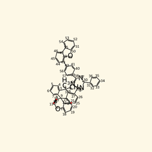 CC1(C)c2ccccc2C2(c3ccccc3Oc3ccccc32)c2cccc(-c3nc(-c4ccccc4)nc(-c4ccc(-c5cccc6c5oc5ccccc56)cc4)n3)c21